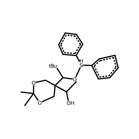 CC(O)C1(C(O[SiH](c2ccccc2)c2ccccc2)C(C)(C)C)COC(C)(C)OC1